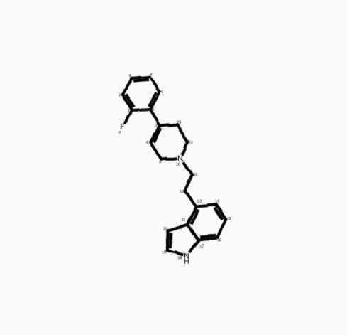 Fc1ccccc1C1=CCN(CCc2cccc3[nH]ccc23)CC1